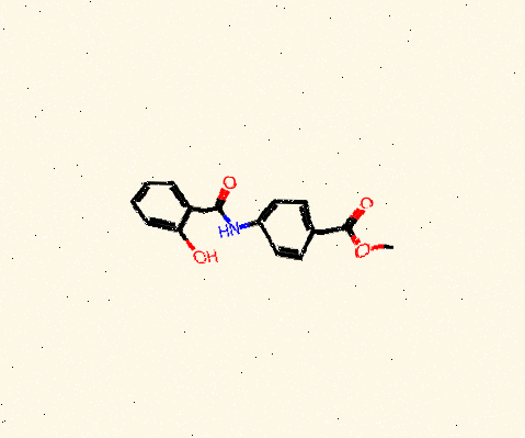 COC(=O)c1ccc(NC(=O)c2c[c]ccc2O)cc1